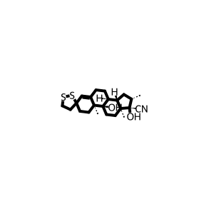 C[C@H]1C[C@H]2[C@@H]3CCC4=CC5(CCSS5)CC[C@]4(C)[C@@]3(O)CC[C@]2(C)[C@@]1(O)C#N